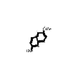 CCC(C)c1ccc2cc(OC)ccc2c1